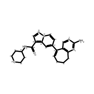 Nc1ncc2c(n1)CCCC=C2c1ccn2ncc(C(=O)NC3CCOCC3)c2c1